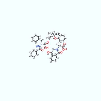 CC(C)(C)Oc1ccccc1CC(C(=O)O)N(CC=O)C(=O)c1ccccc1.O=C(NC(Cc1ccccc1)C(=O)O)c1ccccc1